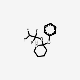 FC(F)C(F)(F)OC1(Oc2ccccc2)CCCCN1